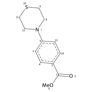 COC(=O)c1ccc(N2CCSCC2)cc1